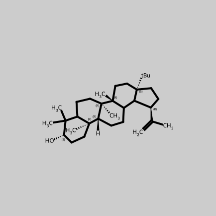 C=C(C)[C@@H]1CC[C@]2(C(C)(C)C)CC[C@]3(C)C(CC[C@@H]4[C@@]5(C)CC[C@H](O)C(C)(C)C5CC[C@]43C)C12